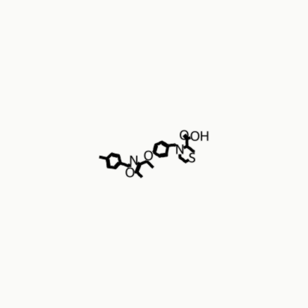 Cc1ccc(-c2nc(C(C)Oc3ccc(CN4CCSCC4C(=O)O)cc3)c(C)o2)cc1